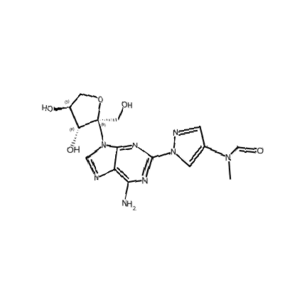 CN(C=O)c1cnn(-c2nc(N)c3ncn([C@]4(CO)OC[C@H](O)[C@H]4O)c3n2)c1